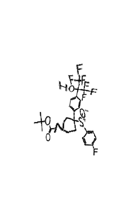 CC(C)(C)OC(=O)N1CCC(c2ccc(C(O)(C(F)(F)F)C(F)(F)F)cc2)([S+]([O-])c2ccc(F)cc2)C1